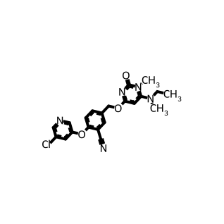 CCN(C)c1cc(OCc2ccc(Oc3cncc(Cl)c3)c(C#N)c2)nc(=O)n1C